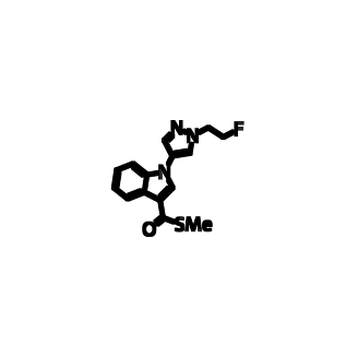 CSC(=O)c1cn(-c2cnn(CCF)c2)c2ccccc12